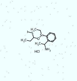 CCC([O][Sn]([CH2]C)[c]1ccccc1C(C)N)SI.Cl